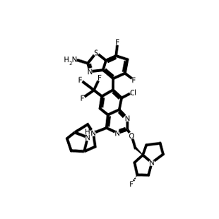 Nc1nc2c(-c3c(C(F)(F)F)cc4c(N5CC6CCC(C5)N6)nc(OC[C@@]56CCCN5C[C@H](F)C6)nc4c3Cl)c(F)cc(F)c2s1